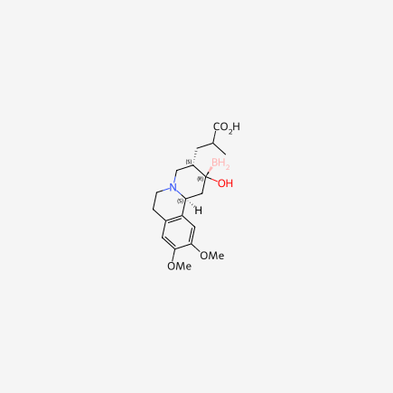 B[C@@]1(O)C[C@H]2c3cc(OC)c(OC)cc3CCN2C[C@@H]1CC(C)C(=O)O